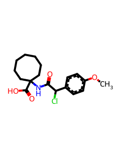 COc1ccc(C(Cl)C(=O)NC2(C(=O)O)CCCCCCC2)cc1